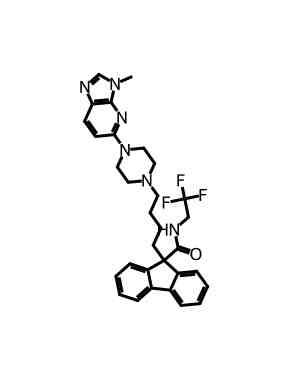 Cn1cnc2ccc(N3CCN(CCCCC4(C(=O)NCC(F)(F)F)c5ccccc5-c5ccccc54)CC3)nc21